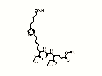 CC(C)(C)OC(=O)CCC(NC(=O)NC(CCCCn1cc(CCCCC(=O)O)nn1)C(=O)OC(C)(C)C)C(=O)OC(C)(C)C